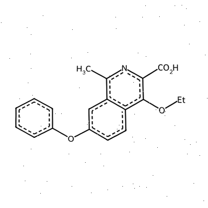 CCOc1c(C(=O)O)nc(C)c2cc(Oc3ccccc3)ccc12